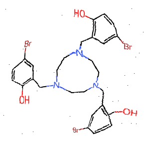 Oc1ccc(Br)cc1CN1CCN(Cc2cc(Br)ccc2O)CCN(Cc2cc(Br)ccc2O)CC1